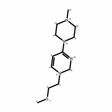 CSCCN1C=CC(N2CCN(C)CC2)=NC1